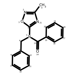 Cc1noc(N(Cc2ccccc2)C(=O)c2ccccc2)n1